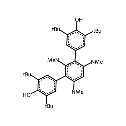 CNc1[c]c(NC)c(-c2cc(C(C)(C)C)c(O)c(C(C)(C)C)c2)c(NC)c1-c1cc(C(C)(C)C)c(O)c(C(C)(C)C)c1